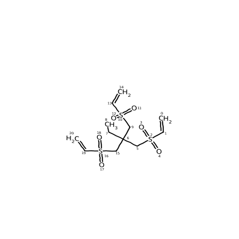 C=CS(=O)(=O)CC(CC)(CS(=O)(=O)C=C)CS(=O)(=O)C=C